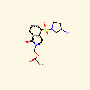 CCCCCC(=O)OCn1ccc2c(S(=O)(=O)N3CCC(N)C3)cccc2c1=O